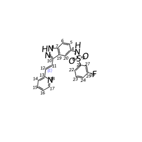 O=S(=O)(Nc1ccc2[nH]nc(/C=C/c3ccccn3)c2c1)c1cccc(F)c1